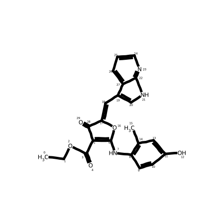 CCOC(=O)C1=C(Nc2ccc(O)cc2C)O/C(=C\c2c[nH]c3ncccc23)C1=O